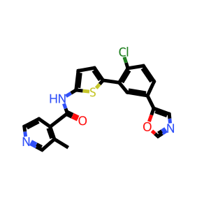 Cc1cnccc1C(=O)Nc1ccc(-c2cc(-c3cnco3)ccc2Cl)s1